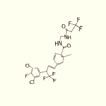 Cc1cc(/C=C/C(c2cc(Cl)c(F)c(Cl)c2)C(F)(F)F)ccc1C(=O)N[C@H](C)NC(=O)CC(F)(F)F